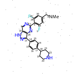 CNCc1cc(F)c(-c2ncc3[nH]nc(-c4ccc(C5CCNCC5)cc4)c3n2)c(F)c1